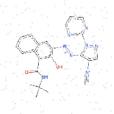 [C-]#[N+]c1cnn(-c2ncccn2)c1/N=N/c1cc2ccccc2c(C(=O)NC(C)(C)C)c1O